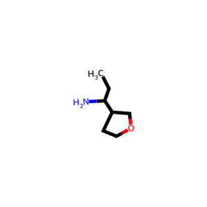 CCC(N)C1CCOC1